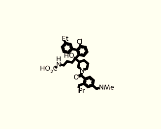 CCc1cccc(-c2c(Cl)cccc2C(O)(CCCNC(=O)O)C2CCCN(C(=O)c3ccc(CNC)cc3CC(C)C)C2)c1